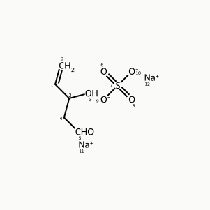 C=CC(O)CC=O.O=S(=O)([O-])[O-].[Na+].[Na+]